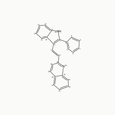 C(=C\c1c(-c2ccccc2)[nH]c2ccccc12)/c1ccc2ccccc2n1